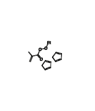 C1=CCC=C1.C1=CCC=C1.C=C(C)C(=O)OOCC